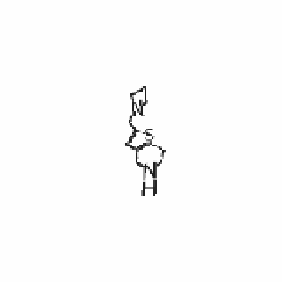 c1c(CN2CCC2)sc2c1CNCC2